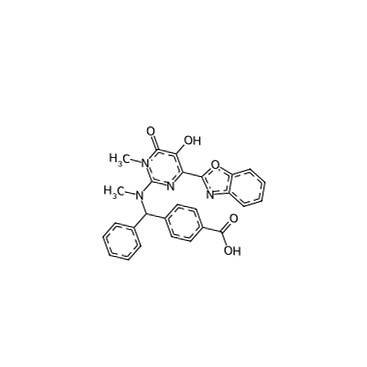 CN(c1nc(-c2nc3ccccc3o2)c(O)c(=O)n1C)C(c1ccccc1)c1ccc(C(=O)O)cc1